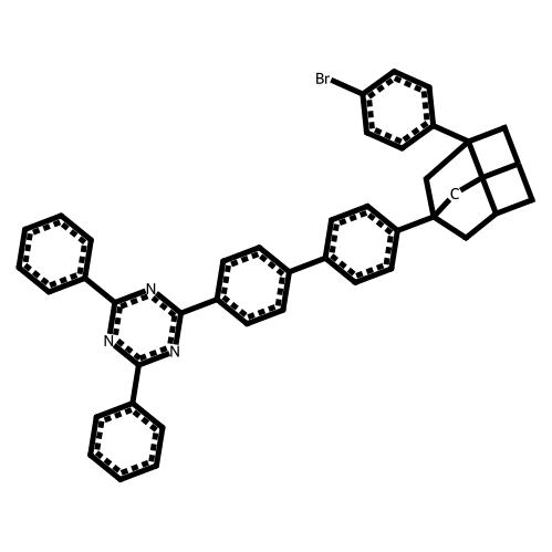 Brc1ccc(C23CC4CC5CC(c6ccc(-c7ccc(-c8nc(-c9ccccc9)nc(-c9ccccc9)n8)cc7)cc6)(C2)CC543)cc1